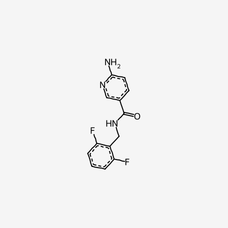 Nc1ccc(C(=O)NCc2c(F)cccc2F)cn1